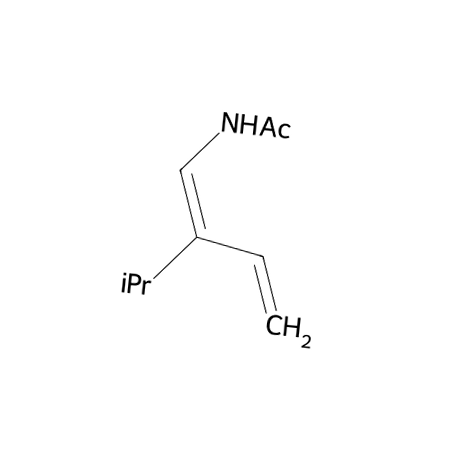 C=C/C(=C\NC(C)=O)C(C)C